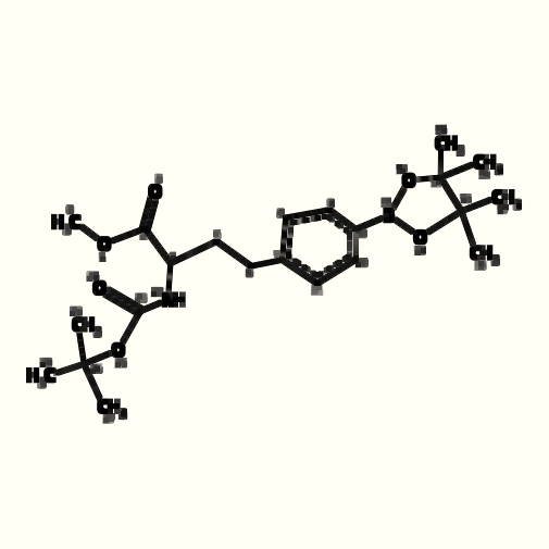 COC(=O)C(CCc1ccc(B2OC(C)(C)C(C)(C)O2)cc1)NC(=O)OC(C)(C)C